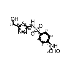 O=CNc1ccc(S(=O)(=O)Nc2nnc(CO)s2)cc1